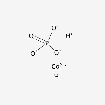 O=P([O-])([O-])[O-].[Co+2].[H+].[H+]